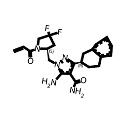 C=CC(=O)N1CC(F)(F)C[C@H]1Cn1nc([C@@H]2CCc3ccccc3C2)c(C(N)=O)c1N